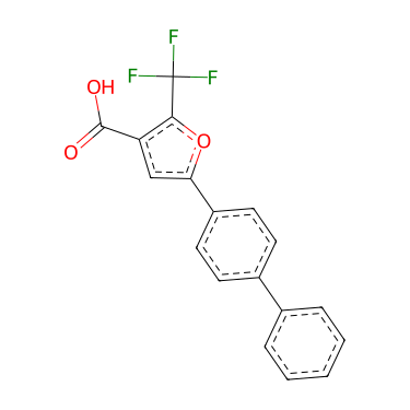 O=C(O)c1cc(-c2ccc(-c3ccccc3)cc2)oc1C(F)(F)F